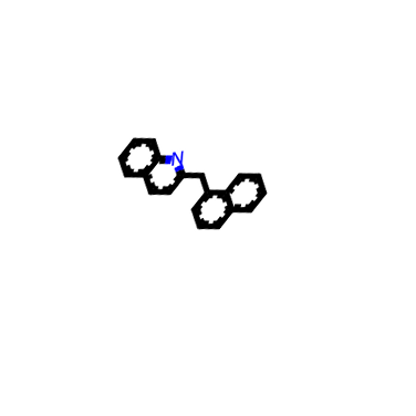 c1ccc2nc(Cc3cccc4ccccc34)ccc2c1